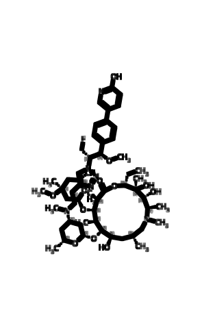 CC[C@H]1OC(=O)[C@H](C)[C@@H](O[C@H]2C[C@@](C)(OC)C[C@H](C)O2)[C@H](C)[C@@H](O[C@H]2C[C@@H](N(C)CCc3cn([C@H](CF)[C@H](OC)c4ccc(-c5ccc(O)nc5)cc4)nn3)C[C@@H](C)O2)[C@H](O)C[C@@H](C)CN(C)[C@H](C)[C@@H](O)[C@]1(C)O